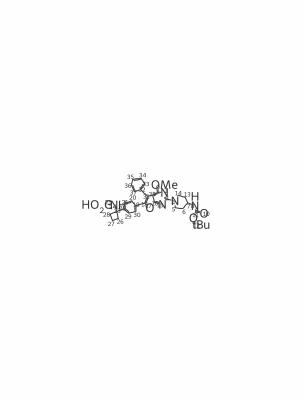 COc1nc(N2CCC(NC(=O)OC(C)(C)C)CC2)nc2oc(-c3ccc(C4(NC(=O)O)CCC4)cc3)c(-c3ccccc3)c12